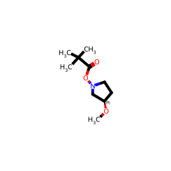 CO[C@@H]1CCN(OC(=O)C(C)(C)C)C1